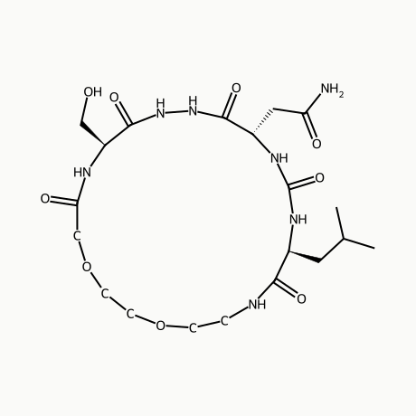 CC(C)C[C@@H]1NC(=O)N[C@@H](CC(N)=O)C(=O)NNC(=O)[C@H](CO)NC(=O)COCCOCCNC1=O